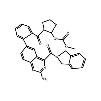 COC(=O)OC1CCCN1C(=O)c1ccccc1-c1ccc2nc(N)nc(C(=O)N3Cc4ccccc4C3)c2c1